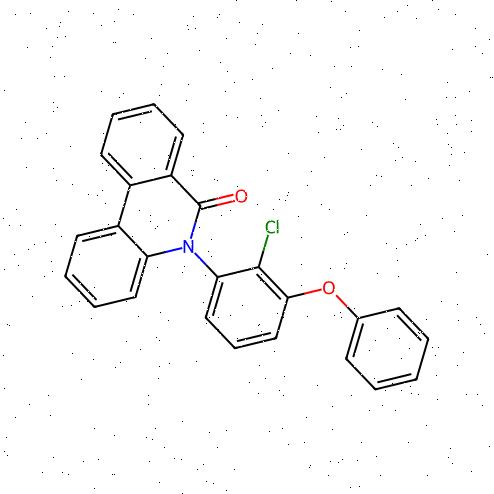 O=c1c2ccccc2c2ccccc2n1-c1cccc(Oc2ccccc2)c1Cl